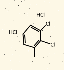 Cc1cccc(Cl)c1Cl.Cl.Cl